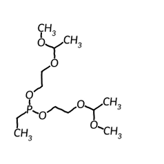 CCP(OCCOC(C)OC)OCCOC(C)OC